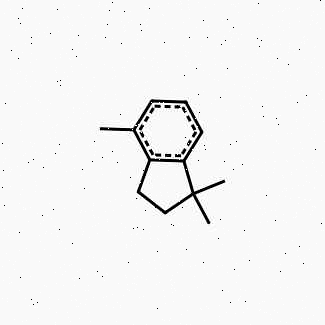 Cc1cccc2c1CCC2(C)C